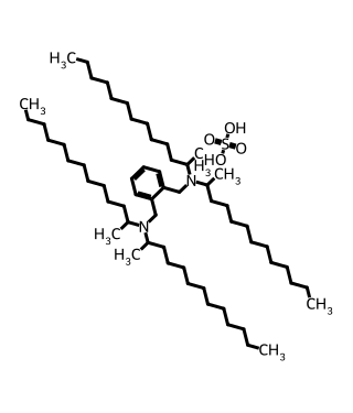 CCCCCCCCCCCC(C)N(Cc1ccccc1CN(C(C)CCCCCCCCCCC)C(C)CCCCCCCCCCC)C(C)CCCCCCCCCCC.O=S(=O)(O)O